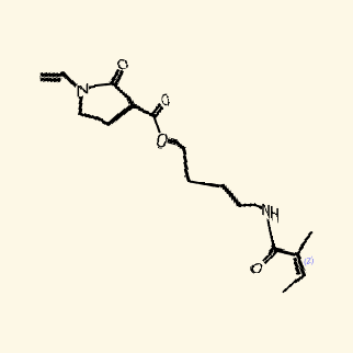 C=CN1CCC(C(=O)OCCCCNC(=O)/C(C)=C\C)C1=O